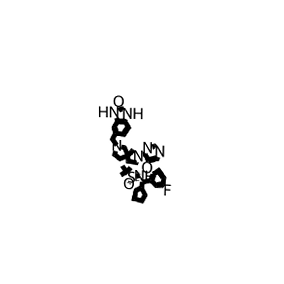 CC(C)(C)[S+]([O-])NC(c1cc(F)ccc1Oc1cncnc1N1CCC2(CCN(Cc3ccc4[nH]c(=O)[nH]c4c3)C2)C1)C1CCCC1